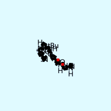 Cc1cc(N2CCC(OCC(=O)N[C@H](C(=O)N3CCC[C@H]3C(=O)N[C@@H](C)c3ccc(-c4scnc4C)cc3)C(C)(C)C)CC2)ccc1NC(=O)c1cccc(-c2ccn[nH]2)n1